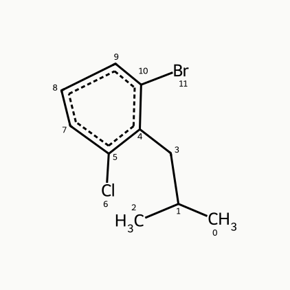 CC(C)Cc1c(Cl)cccc1Br